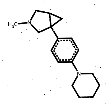 CN1CC2CC2(c2ccc(N3CCCCC3)cc2)C1